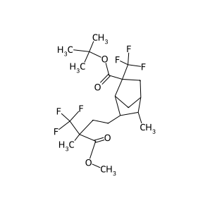 COC(=O)C(C)(CCC1C(C)C2CC1C(C(=O)OC(C)(C)C)(C(F)(F)F)C2)C(F)(F)F